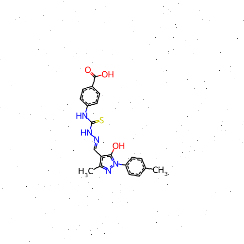 Cc1ccc(-n2nc(C)c(C=NNC(=S)Nc3ccc(C(=O)O)cc3)c2O)cc1